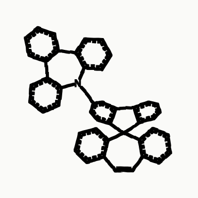 C1=Cc2ccccc2C2(c3ccccc31)c1ccccc1-c1cc(N3c4ccccc4-c4ccccc4-c4ccccc43)ccc12